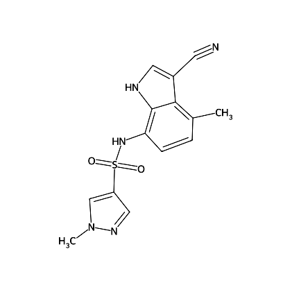 Cc1ccc(NS(=O)(=O)c2cnn(C)c2)c2[nH]cc(C#N)c12